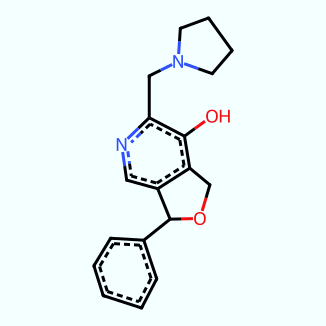 Oc1c(CN2CCCC2)ncc2c1COC2c1ccccc1